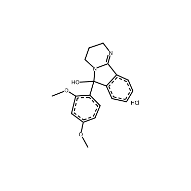 COc1ccc(C2(O)c3ccccc3C3=NCCCN32)c(OC)c1.Cl